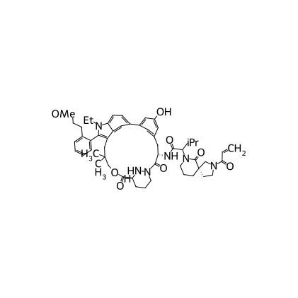 C=CC(=O)N1CC[C@@]2(CCCN(C(C(=O)N[C@H]3Cc4cc(O)cc(c4)-c4ccc5c(c4)c(c(-c4ccccc4CCOC)n5CC)CC(C)(C)COC(=O)[C@@H]4CCCN(N4)C3=O)C(C)C)C2=O)C1